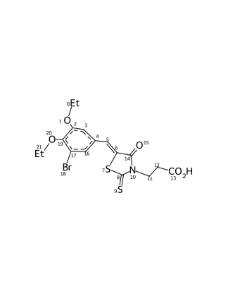 CCOc1cc(/C=C2\SC(=S)N(CCC(=O)O)C2=O)cc(Br)c1OCC